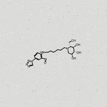 O=Nc1cc(-n2cnnn2)ccc1NCCCCCCN1C[C@H](O)[C@@H](O)[C@H](O)[C@H]1CO